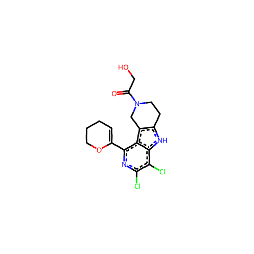 O=C(CO)N1CCc2[nH]c3c(Cl)c(Cl)nc(C4=CCCCO4)c3c2C1